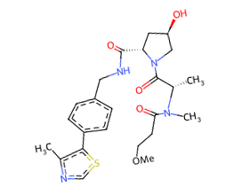 COCCC(=O)N(C)[C@@H](C)C(=O)N1C[C@H](O)C[C@H]1C(=O)NCc1ccc(-c2scnc2C)cc1